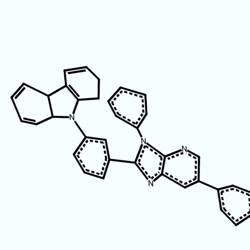 C1=CC2C3=C(CCC=C3)N(c3cccc(-c4nc5cc(-c6ccccc6)cnc5n4-c4ccccc4)c3)C2C=C1